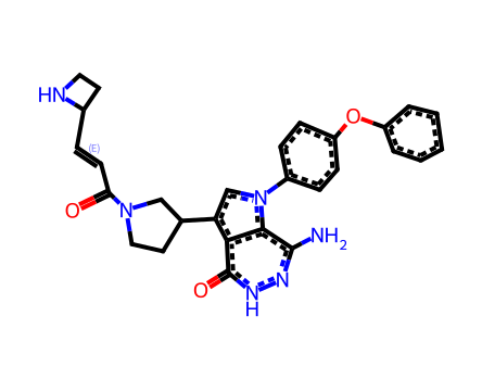 Nc1n[nH]c(=O)c2c(C3CCN(C(=O)/C=C/C4CCN4)C3)cn(-c3ccc(Oc4ccccc4)cc3)c12